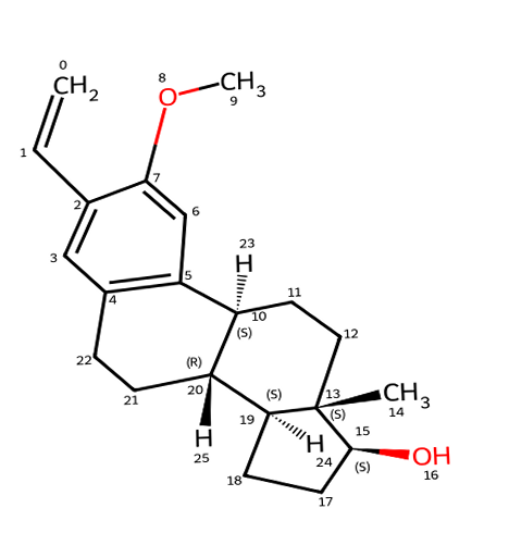 C=Cc1cc2c(cc1OC)[C@H]1CC[C@]3(C)[C@@H](O)CC[C@H]3[C@@H]1CC2